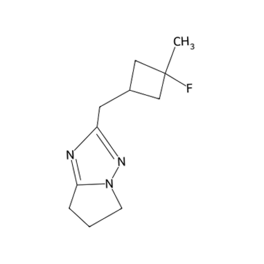 CC1(F)CC(Cc2nc3n(n2)CCC3)C1